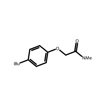 CCC(C)c1ccc(OCC(=O)NC)cc1